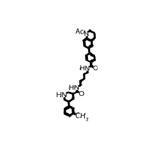 CC(=O)N1CCCc2cc(-c3ccc(C(=O)NCCCCCNC(=O)C4CNCC(c5cccc(C)c5)C4)cc3)ccc21